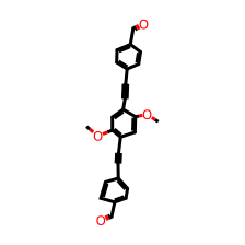 COc1cc(C#Cc2ccc(C=O)cc2)c(OC)cc1C#Cc1ccc(C=O)cc1